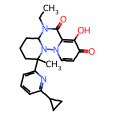 CCN1C(=O)c2c(O)c(=O)ccn2N2C1CCCC2(C)c1cccc(C2CC2)n1